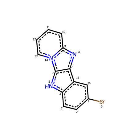 Brc1ccc2[nH]c3c(nc4ccccn43)c2c1